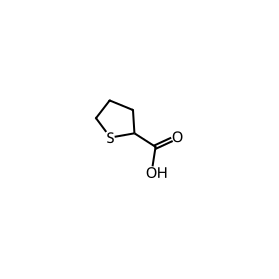 O=C(O)C1CCCS1